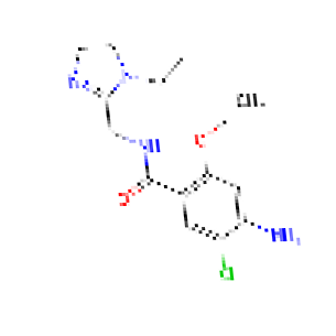 C.CCN1CCN=C1CNC(=O)c1cc(Cl)c(N)cc1OC